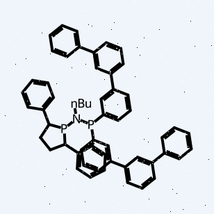 CCCCN(P(c1cccc(-c2cccc(-c3ccccc3)c2)c1)c1cccc(-c2cccc(-c3ccccc3)c2)c1)P1C(c2ccccc2)CCC1c1ccccc1